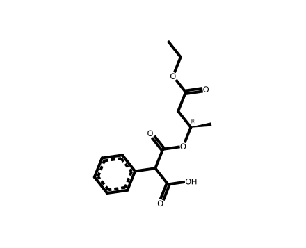 CCOC(=O)C[C@@H](C)OC(=O)C(C(=O)O)c1ccccc1